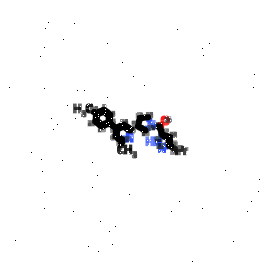 Cc1ccc(-c2cc(C)nc([C@@H]3CCN(C(=O)c4cc(C(C)C)n[nH]4)C3)c2)cc1